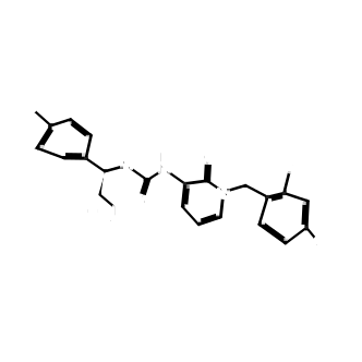 Cc1ccc([C@H](CC(=O)O)NC(=O)Nc2cccn(Cc3ccc(Cl)cc3Br)c2=O)cc1